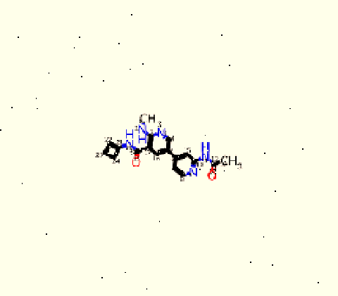 CNc1ncc(-c2ccnc(NC(C)=O)c2)cc1C(=O)NC1=C=CC1